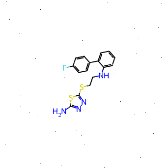 Nc1nnc(SCCNc2ccccc2-c2ccc(F)cc2)s1